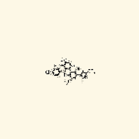 Oc1c(-c2cc(C(F)(F)F)n[nH]2)cc(C(F)(F)F)c(OCc2ccc(Cl)cc2)c1-c1ccc(Cl)c(C(F)(F)F)c1